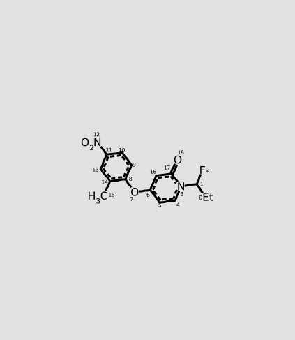 CCC(F)n1ccc(Oc2ccc([N+](=O)[O-])cc2C)cc1=O